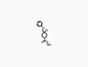 CCC1(COc2ccccc2)CCN(C(=O)OC(C)(C)C)CC1